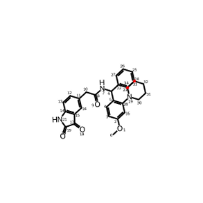 COc1ccc(C(NC(=O)Cc2ccc3c(c2)C(=O)C(=O)N3)c2ccccc2)c(N2CCCCC2)c1